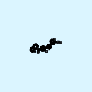 CC(C)(C)c1cc(-c2csc(-c3ccc(C(=O)N4CCCc5cccnc54)cc3Cl)c2)ccn1